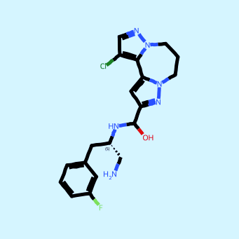 NC[C@H](Cc1cccc(F)c1)NC(O)c1cc2n(n1)CCCn1ncc(Cl)c1-2